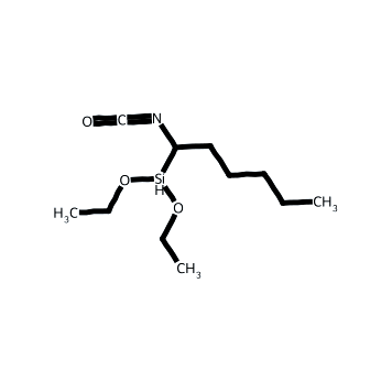 CCCCCC(N=C=O)[SiH](OCC)OCC